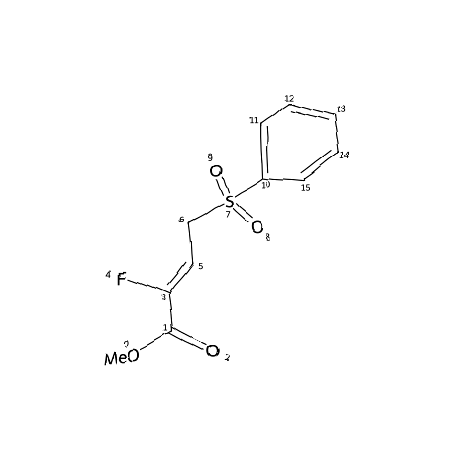 COC(=O)/C(F)=C/CS(=O)(=O)c1ccccc1